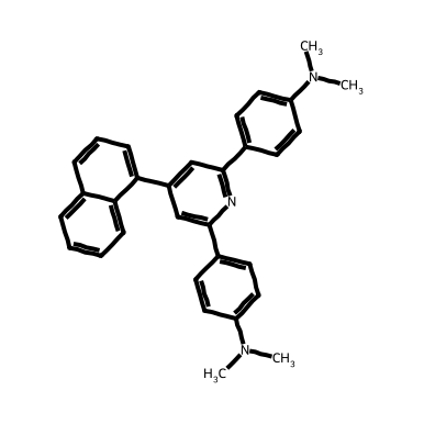 CN(C)c1ccc(-c2cc(-c3cccc4ccccc34)cc(-c3ccc(N(C)C)cc3)n2)cc1